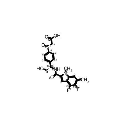 Cc1cc2c(cc(C(=O)N[C@H](CO)c3ccc([S+]([O-])CC(=O)O)cc3)n2C)c(F)c1F